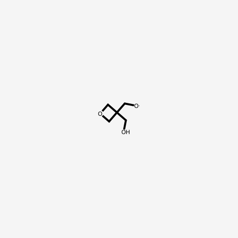 [O]CC1(CO)COC1